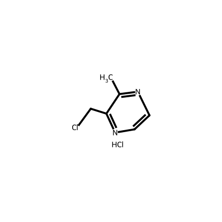 Cc1nccnc1CCl.Cl